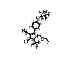 CCOCn1c(-c2ccc(OC(F)(F)C(F)(F)Br)cc2)c(C#N)c(Cl)c1C(F)(F)F